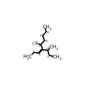 CCC=C([C](C)CC)C(Cl)CCCC